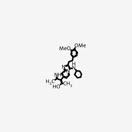 COc1ccc(CCc2nc3cc(/C(C(C)=N)=C(\C)O)ccn3c2NC2CCCCC2)cc1OC